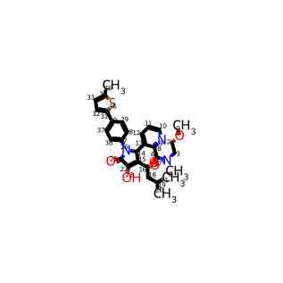 COCCN(C)C(=O)c1ncccc1C1C(C(=O)CC(C)C)=C(O)C(=O)N1c1ccc(-c2ccc(C)s2)cc1